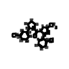 O=C(C1CC(C(F)(F)F)=NN1c1ccccc1Cl)N1CCCC1c1cccc(Cl)c1